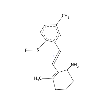 CC1=C(/C=C/c2nc(C)ccc2SF)C(N)CCC1